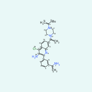 C=C(N)c1cccc(-c2nc3cc(C(=C)N4CCN(C(=C)CCCC)CC4)ccc3c(Cl)c2N)c1